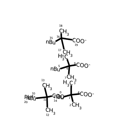 CCCCC(C)(C)C(=O)[O-].CCCCC(C)(C)C(=O)[O-].CCCCC(C)(C)C(=O)[O-].CCCCC(C)(C)C(=O)[O-].[Pb+4]